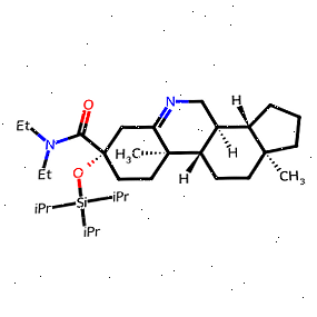 CCN(CC)C(=O)[C@]1(O[Si](C(C)C)(C(C)C)C(C)C)CC[C@@]2(C)C(=NC[C@H]3[C@@H]4CCC[C@@]4(C)CC[C@@H]32)C1